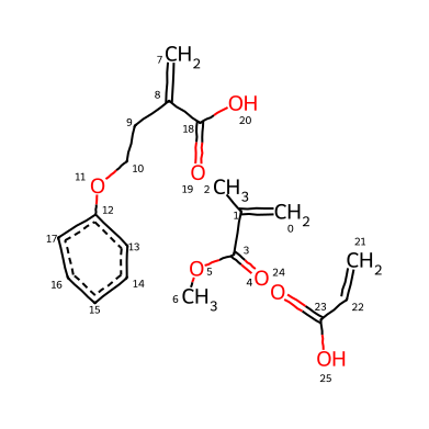 C=C(C)C(=O)OC.C=C(CCOc1ccccc1)C(=O)O.C=CC(=O)O